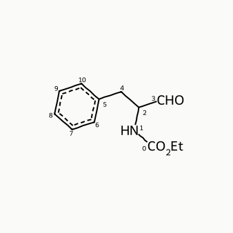 CCOC(=O)NC(C=O)Cc1ccccc1